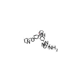 CC(C)(N)c1nc(-c2ccc([C@]3(c4ccc(OCc5ccccn5)cc4)CC4CC[C@@H]3C4)cc2)no1